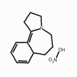 C1=CC2=C3CCCN3CCCC2C=C1.O=[N+]([O-])O